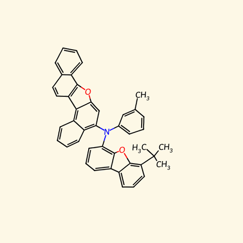 Cc1cccc(N(c2cc3oc4c5ccccc5ccc4c3c3ccccc23)c2cccc3c2oc2c(C(C)(C)C)cccc23)c1